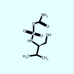 CC(C)[C@H](CO)NS(=O)(=O)OC(N)=O